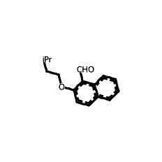 CC(C)CCOc1ccc2ccccc2c1C=O